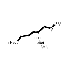 CCCCCCCCCCCCOS(=O)(=O)O.O.[CaH2].[NaH]